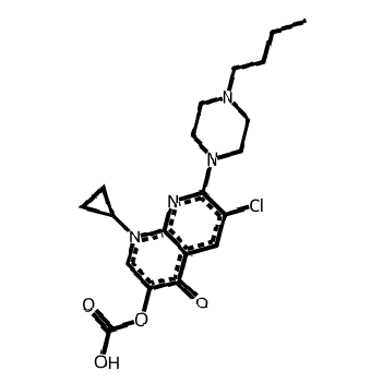 CCCCN1CCN(c2nc3c(cc2Cl)c(=O)c(OC(=O)O)cn3C2CC2)CC1